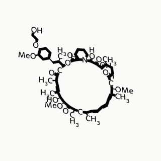 CO[C@H]1C[C@@H]2CC[C@@H](C)[C@@](O)(O2)C(=O)C(O)N2CCCC[C@H]2C(=O)O[C@H]([C@@H](C)C[C@@H]2CC[C@@H](OCCO)[C@H](OC)C2)CC(=O)[C@H](C)/C=C(\C)[C@@H](O)[C@@H](OC)C(=O)[C@H](C)C[C@H](C)/C=C/C=C/C=C/1C